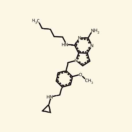 CCCCCNc1nc(N)nc2ccn(Cc3ccc(CNC4CC4)cc3OC)c12